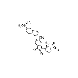 CC(C)n1c(=O)c2cnc(Nc3ccc4c(c3)CCC(N(C)C)C4)cc2n1-c1cccc(C(C)(C)F)n1